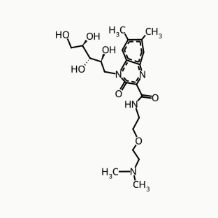 Cc1cc2nc(C(=O)NCCOCCN(C)C)c(=O)n(C[C@H](O)[C@H](O)[C@H](O)CO)c2cc1C